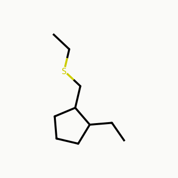 CCSCC1CCCC1CC